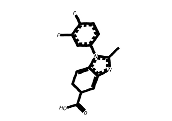 Cc1nc2c(n1-c1ccc(F)c(F)c1)=CCC(C(=O)O)C=2